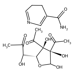 CC(=O)C(O)[C@H]1OC(O)[C@@](O)(C(C)=O)[C@@]1(O)C(C)=O.NC(=O)C1=CN=CCC1